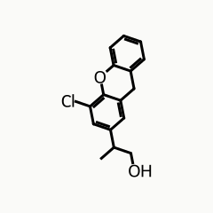 CC(CO)c1cc(Cl)c2c(c1)Cc1ccccc1O2